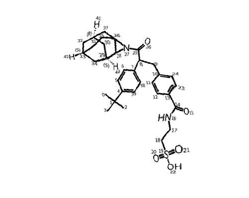 CC(C)(C)c1ccc(C(Cc2ccc(C(=O)NCCS(=O)(=O)O)cc2)C(=O)N2C3[C@@H]4C[C@H]5C[C@@H](C4)CC32C5)cc1